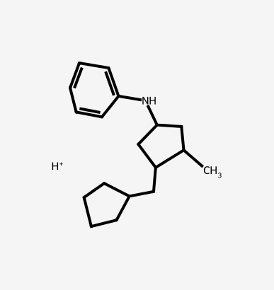 CC1CC(Nc2ccccc2)CC1CC1CCCC1.[H+]